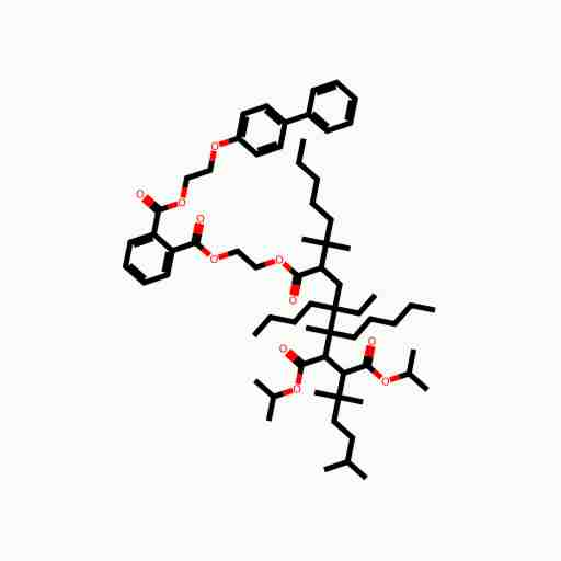 CCCCCC(C)(C)C(CC(CC)(CCCC)C(C)(CCCCC)C(C(=O)OC(C)C)C(C(=O)OC(C)C)C(C)(C)CCC(C)C)C(=O)OCCOC(=O)c1ccccc1C(=O)OCCOc1ccc(-c2ccccc2)cc1